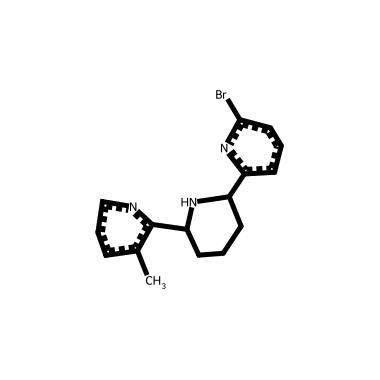 Cc1cccnc1C1CCCC(c2cccc(Br)n2)N1